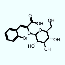 O=C(O)C(=Cc1ccccc1Br)O[C@H]1O[C@@H](CO)[C@H](O)[C@@H](O)[C@@H]1O